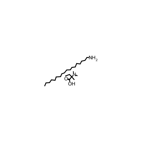 CCC(C)(C(=O)O)N(C)C.CCCCCCCCCCCCCCCCCCN